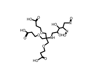 O=NCC(N=O)C(O)C(O)CNC(COCCC(=O)O)(COCCC(=O)O)COCCC(=O)O